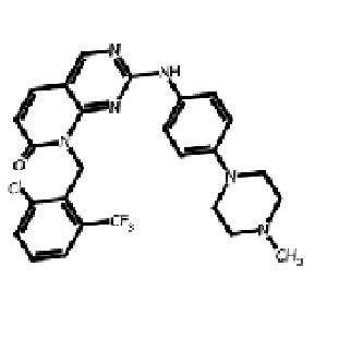 CN1CCN(c2ccc(Nc3ncc4ccc(=O)n(Cc5c(Cl)cccc5C(F)(F)F)c4n3)cc2)CC1